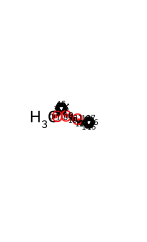 COc1cc[c]cc1OCCOCc1ccccc1